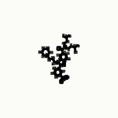 CC(C)CCN(CCC(C)C)C(=O)c1ccc2nc(-c3cccc([N+](=O)[O-])c3)n(CCCN3CCCCC3)c2c1